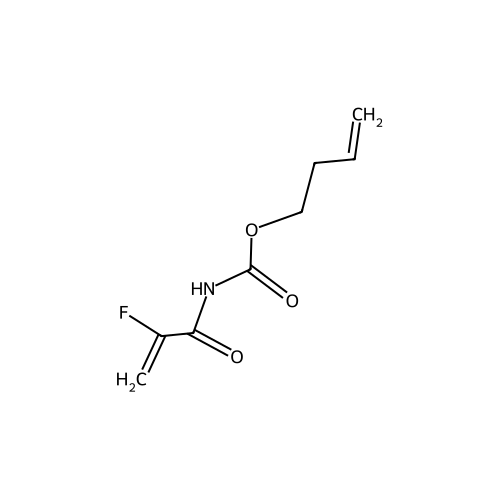 C=CCCOC(=O)NC(=O)C(=C)F